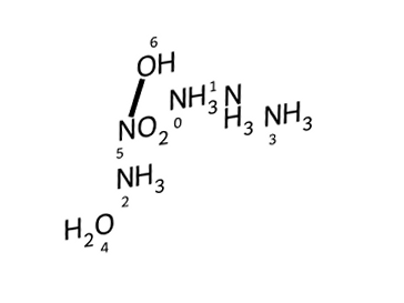 N.N.N.N.O.O=[N+]([O-])O